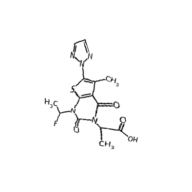 Cc1c(-n2nccn2)sc2c1c(=O)n(C(C)C(=O)O)c(=O)n2C(C)F